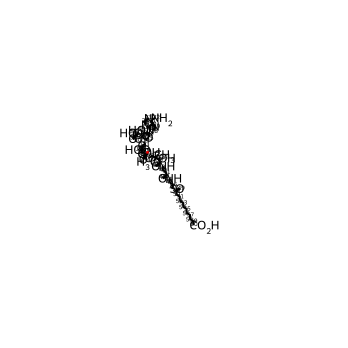 CC(C)(COP(=O)(O)OP(=O)(O)OC[C@H]1O[C@@H](n2cnc3c(N)ncnc32)[C@H](O)[C@@H]1OP(=O)(O)O)[C@@H](O)C(=O)NCCC(=O)NCCSC(=O)CCCCCCCCCCC(=O)O